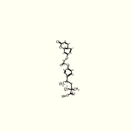 CCC(C)(CC(C)c1ccc(OC(=O)COc2ccc3ccc(=O)oc3c2)cc1)C(=O)OC